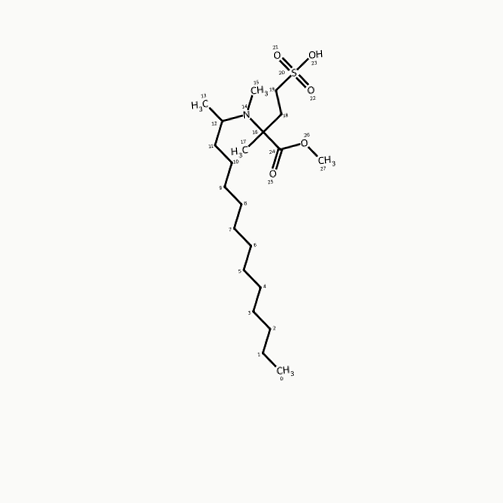 CCCCCCCCCCCCC(C)N(C)C(C)(CCS(=O)(=O)O)C(=O)OC